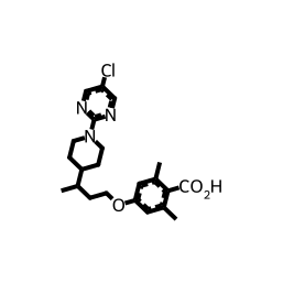 Cc1cc(OCCC(C)C2CCN(c3ncc(Cl)cn3)CC2)cc(C)c1C(=O)O